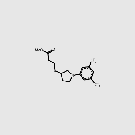 COC(=O)CCSC1CCN(c2cc(C(F)(F)F)cc(C(F)(F)F)c2)C1